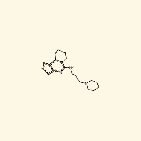 c1nnc2c3c(c(NCCCN4CCCCC4)nn12)CCCC3